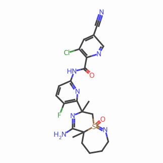 CC1(c2nc(NC(=O)c3ncc(C#N)cc3Cl)ccc2F)CS2(=O)=NCCCCC2(C)C(N)=N1